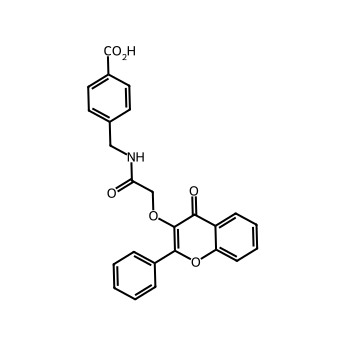 O=C(COc1c(-c2ccccc2)oc2ccccc2c1=O)NCc1ccc(C(=O)O)cc1